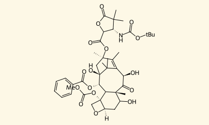 COC(=O)O[C@@]12CO[C@@H]1CC(O)[C@@]1(C)C(=O)[C@H](O)C3=C(C)[C@](C)(OC(=O)C4OC(=O)C(C)(C)[C@@H]4NC(=O)OC(C)(C)C)C[C@@](O)([C@@H](OC(=O)c4ccccc4)C12)C3(C)C